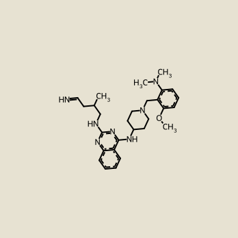 COc1cccc(N(C)C)c1CN1CCC(Nc2nc(NCC(C)CC=N)nc3ccccc23)CC1